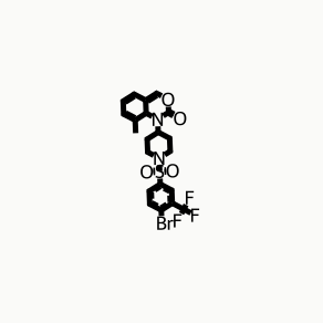 CC1=CC=CC2=COC(=O)N(C3CCN(S(=O)(=O)c4ccc(Br)c(C(F)(F)F)c4)CC3)C12